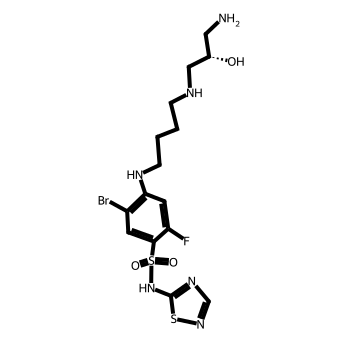 NC[C@H](O)CNCCCCNc1cc(F)c(S(=O)(=O)Nc2ncns2)cc1Br